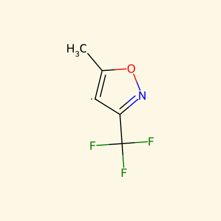 Cc1[c]c(C(F)(F)F)no1